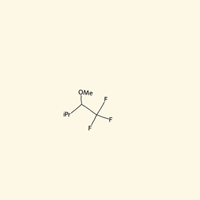 COC(C(C)C)C(F)(F)F